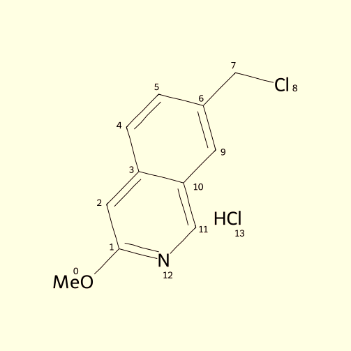 COc1cc2ccc(CCl)cc2cn1.Cl